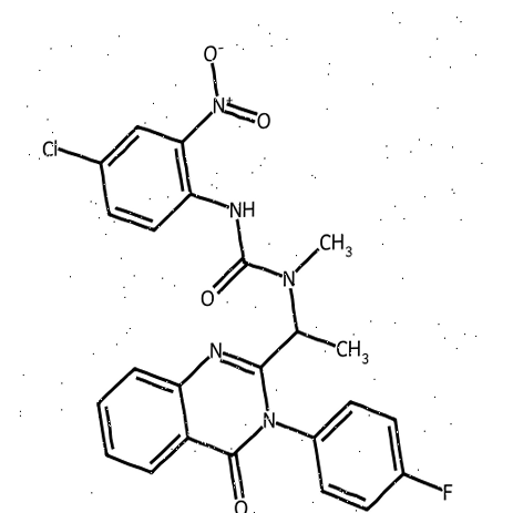 CC(c1nc2ccccc2c(=O)n1-c1ccc(F)cc1)N(C)C(=O)Nc1ccc(Cl)cc1[N+](=O)[O-]